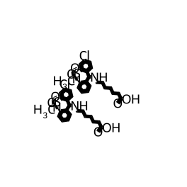 CN1c2ccccc2C(NCCCCCCC(=O)O)c2ccc(Cl)cc2S1(=O)=O.CN1c2ccccc2C(NCCCCCCC(=O)O)c2ccc(Cl)cc2S1(=O)=O